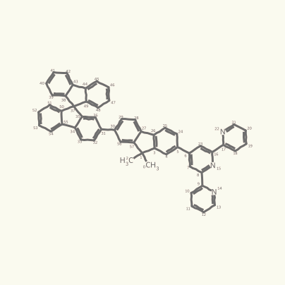 CC1(C)c2cc(-c3cc(-c4ccccn4)nc(-c4ccccn4)c3)ccc2-c2ccc(-c3ccc4c(c3)C3(c5ccccc5-c5ccccc53)c3ccccc3-4)cc21